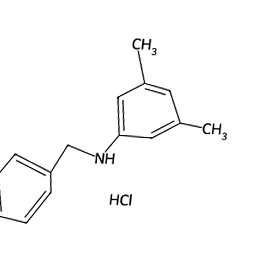 Cc1cc(C)cc(NCc2ccccc2)c1.Cl